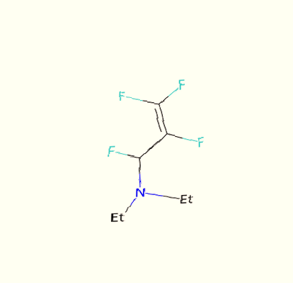 CCN(CC)C(F)C(F)=C(F)F